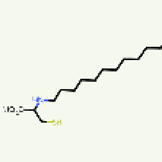 O=C(O)C(CS)NCCCCCCCCCCCI